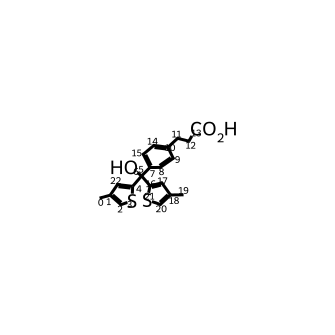 Cc1csc(C(O)(c2ccc(CCC(=O)O)cc2)c2cc(C)cs2)c1